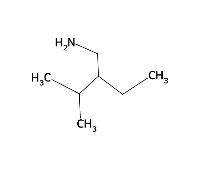 CCC(CN)C(C)C